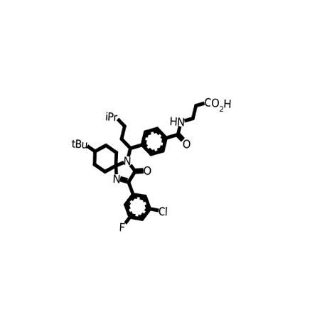 CC(C)CCC(c1ccc(C(=O)NCCC(=O)O)cc1)N1C(=O)C(c2cc(F)cc(Cl)c2)=NC12CCC(C(C)(C)C)CC2